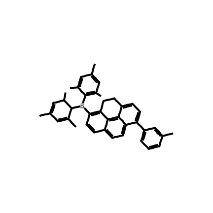 CC1=CC(C)C(B(c2ccc3ccc4c(-c5cccc(C)c5)ccc5c4c3c2CC5)c2c(C)cc(C)cc2C)C(C)=C1